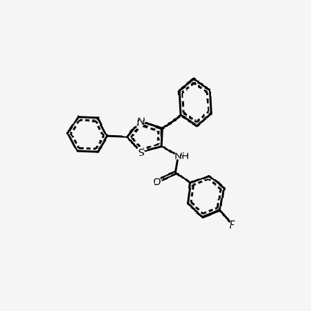 O=C(Nc1sc(-c2ccccc2)nc1-c1ccccc1)c1ccc(F)cc1